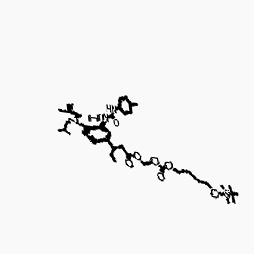 CCC(CC(=O)OCOC(=O)OCCCCO[Si](C)(C)C(C)(C)C)c1ccc(N(CC(C)C)CC(C)C)c(NC(=O)Nc2ccc(C)cc2)c1